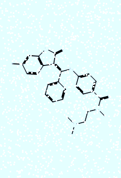 CN(C)CCN(C)C(=O)c1ccc(N/C(=C2\C(=O)Nc3cc(Cl)ccc32)c2ccccc2)cc1